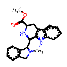 COC(=O)C1Cc2c([nH]c3ccccc23)C(C2c3ccccc3CN2C)N1